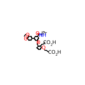 CC(C)NC(=O)c1cc(OCc2cccc(OCCCC(=O)O)c2CCC(=O)O)cc(-c2ccc3c(c2)OCCO3)c1